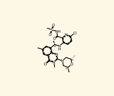 Cc1cc([C@@H](C)Nc2ccc(Cl)nc2C(=O)NS(C)(=O)=O)c2nc(N3C[C@H](C)O[C@@H](C)C3)n(C)c(=O)c2c1